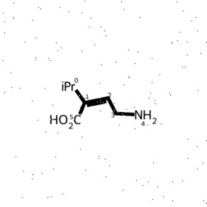 CC(C)C(=CCN)C(=O)O